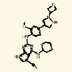 COc1cc(C2=CN(C3COC3)NC2)ccc1Nc1nc(NC2CCCCC2)c2c(C#N)c[nH]c2n1